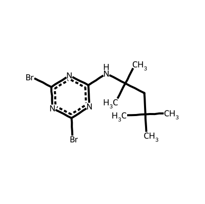 CC(C)(C)CC(C)(C)Nc1nc(Br)nc(Br)n1